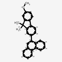 COc1ccc2c(c1)C(C)(C)c1cc(-c3cc4ccccc4c4ccccc34)ccc1-2